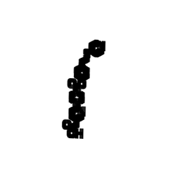 O=C(O)Cc1ccc(N2CCN(C(=O)Oc3ccc(CCSc4ccncc4)cc3)CC2)nc1